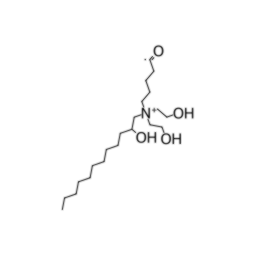 CCCCCCCCCCC(O)C[N+](CCO)(CCO)CCCC[C]=O